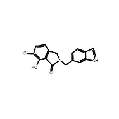 O=C1c2c(ccc(O)c2O)CN1Cc1ccc2cc[nH]c2c1